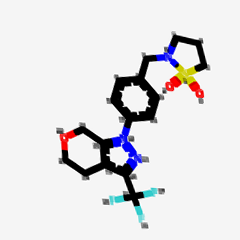 O=S1(=O)CCCN1Cc1ccc(-n2nc(C(F)(F)F)c3c2COCC3)cc1